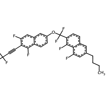 CCCCc1cc(F)c2c(F)c(C(F)(F)Oc3ccc4c(F)c(C#CC(F)(F)F)c(F)cc4c3)ccc2c1